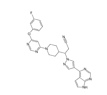 N#CCC(C1CCN(c2cc(Oc3cccc(F)c3)ncn2)CC1)n1cc(-c2ncnc3[nH]ccc23)cn1